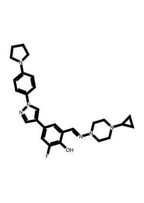 Oc1c(F)cc(-c2cnn(-c3ccc(N4CCCC4)cc3)c2)cc1/C=N/N1CCN(C2CC2)CC1